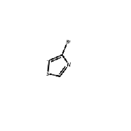 Brc1[c]scn1